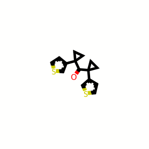 O=C(C1(c2ccsc2)CC1)C1(c2ccsc2)CC1